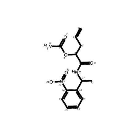 C=CCC(OC(N)=O)C(=O)NC(C)c1ccccc1[N+](=O)[O-]